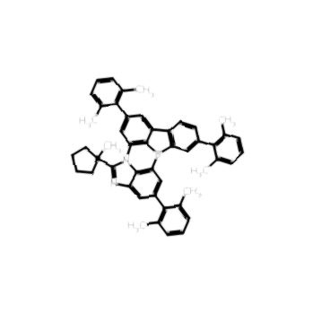 Cc1cccc(C)c1-c1ccc2c(c1)B1c3c-2cc(-c2c(C)cccc2C)cc3-n2c(C3(C)CCCC3)nc3cc(-c4c(C)cccc4C)cc1c32